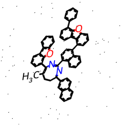 C/C1=C(c2cccc3c2oc2ccccc23)/N=C(c2ccc(-c3cccc4oc5c(-c6ccccc6)cccc5c34)c3ccccc23)\N=C(\c2ccc3ccccc3c2)CC1